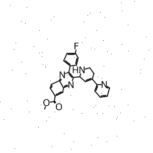 COC(=O)c1ccc2nc(-c3ccc(F)cc3)c(C3C=C(c4ccccn4)CCN3)nc2c1